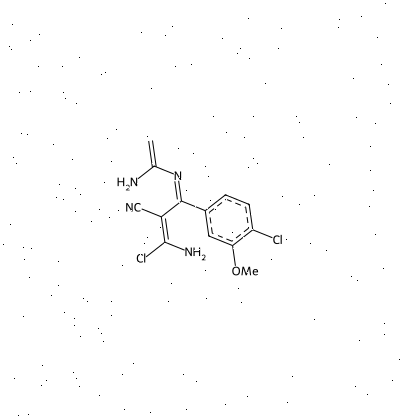 C=C(N)/N=C(\C(C#N)=C(/N)Cl)c1ccc(Cl)c(OC)c1